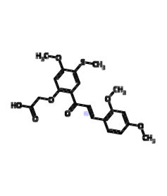 COc1ccc(/C=C/C(=O)c2cc(SC)c(OC)cc2OCC(=O)O)c(OC)c1